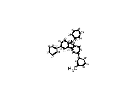 CC1=CC(c2ccc3c(c2)c2cc(C4=CCCC=C4)ccc2n3-c2ccccc2)CC=C1